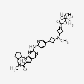 CN(C)C(=O)c1cc2cnc(Nc3ccc(C4CC(N(C)C5CN(C(=O)OC(C)(C)C)C5)C4)cn3)nc2n1C1CCCC1